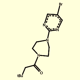 CC(C)(C)CC(=O)N1CCN(c2ncc(Br)cn2)CC1